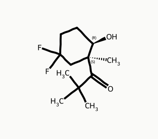 CC(C)(C)C(=O)[C@@]1(C)CC(F)(F)CC[C@H]1O